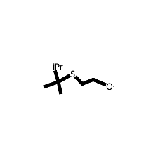 CC(C)C(C)(C)SCC[O]